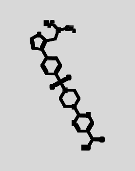 CN(C)Cc1sccc1-c1ccc(S(=O)(=O)N2CCN(c3ncc(C(=O)O)cn3)CC2)cc1